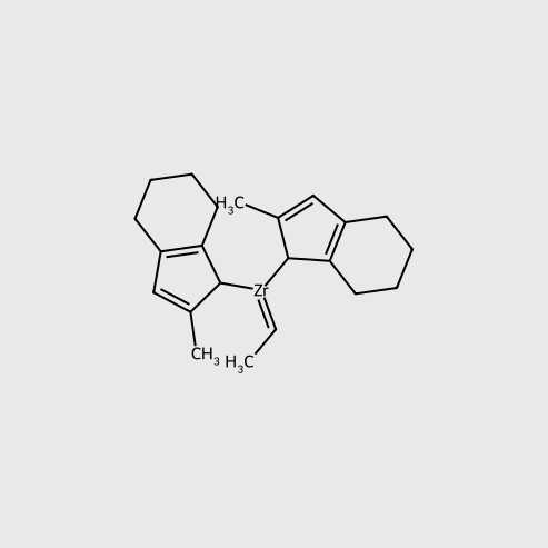 C[CH]=[Zr]([CH]1C(C)=CC2=C1CCCC2)[CH]1C(C)=CC2=C1CCCC2